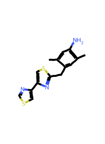 Cc1cc(Cc2nc(-c3cscn3)cs2)c(C)cc1N